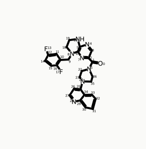 O=C(c1cnc2c(n1)N(Cc1cc(F)ccc1F)CCN2)N1CCN(c2ccnc3ccccc23)CC1